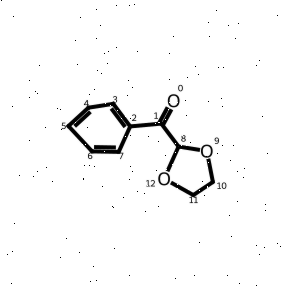 O=C(c1ccccc1)C1OCCO1